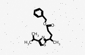 CC(C)c1csc(C(C)CCC(=O)OCc2ccccc2)n1